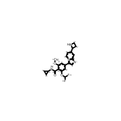 COc1cc(-c2cnc3cc(C4CCN4)ccn23)cc(OC(F)F)c1C(=O)NC1CC1